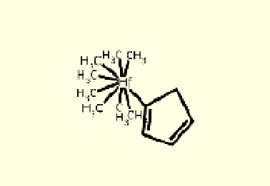 [CH3][Hf]([CH3])([CH3])([CH3])([CH3])([CH3])([CH3])([CH3])[C]1=CC=CC1